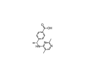 Cc1ncc(C)c(N[C@@H](C)c2ccc(C(=O)O)cc2)n1